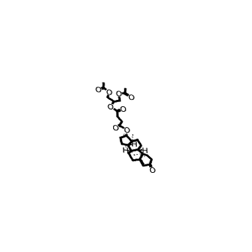 CC(=O)OCC(COC(C)=O)OC(=O)CCC(=O)O[C@H]1CC[C@H]2[C@@H]3CCC4=CC(=O)CC[C@]4(C)[C@H]3CC[C@]12C